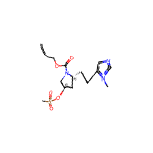 C=CCOC(=O)N1C[C@H](OS(C)(=O)=O)C[C@H]1CCc1cncn1C